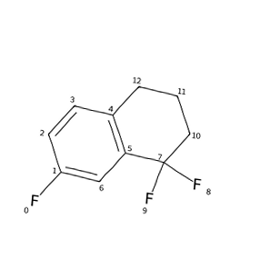 Fc1ccc2c(c1)C(F)(F)CCC2